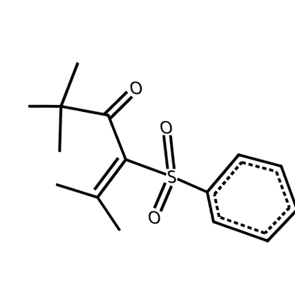 CC(C)=C(C(=O)C(C)(C)C)S(=O)(=O)c1ccccc1